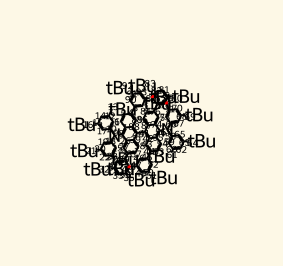 CC(C)(C)c1cc(-c2ccc3c(N(c4cc(C(C)(C)C)cc(C(C)(C)C)c4)c4cc(C(C)(C)C)cc(C(C)(C)C)c4)c4cc(-c5cc(C(C)(C)C)cc(C(C)(C)C)c5)ccc4c(-c4c5cc(-c6cc(C(C)(C)C)cc(C(C)(C)C)c6)ccc5c(N(c5cc(C(C)(C)C)cc(C(C)(C)C)c5)c5cc(C(C)(C)C)cc(C(C)(C)C)c5)c5cc(-c6cc(C(C)(C)C)cc(C(C)(C)C)c6)ccc45)c3c2)cc(C(C)(C)C)c1